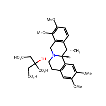 COc1cc2c(cc1OC)[C@H]1[C@@H](C)c3ccc(OC)c(OC)c3CN1CC2.O=C(O)CC(O)(CC(=O)O)C(=O)O